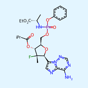 CCOC(=O)[C@H](C)NP(=O)(OC[C@H]1O[C@@H](c2cnc3c(N)ncnn23)[C@](C)(F)[C@@H]1OC(=O)C(C)C)Oc1ccccc1